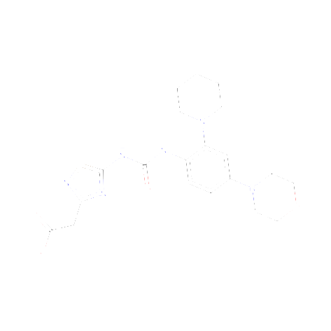 O=C(O)Cc1nsc(NC(=O)Nc2ccc(N3CCOCC3)cc2N2CCCCC2)n1